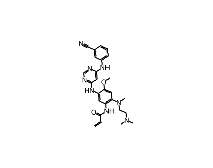 C=CC(=O)Nc1cc(Nc2cc(Nc3cccc(C#N)c3)ncn2)c(OC)cc1N(C)CCN(C)C